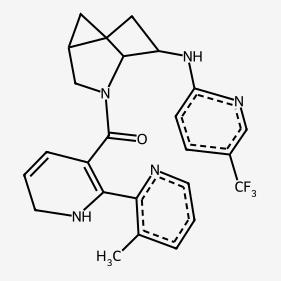 Cc1cccnc1C1=C(C(=O)N2CC3CC34CC(Nc3ccc(C(F)(F)F)cn3)C24)C=CCN1